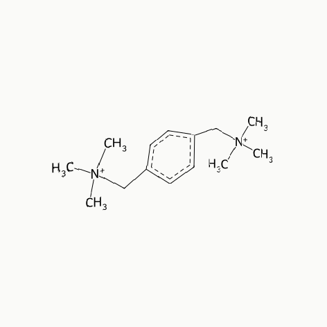 C[N+](C)(C)Cc1ccc(C[N+](C)(C)C)cc1